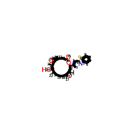 C/C(=C\c1nc2ccccc2s1)[C@@H]1C[C@@H]2O[C@]2(C)CCC[C@H](C)[C@H](O)[C@@H](C)C(=O)C(C)(C)CCC(=O)O1